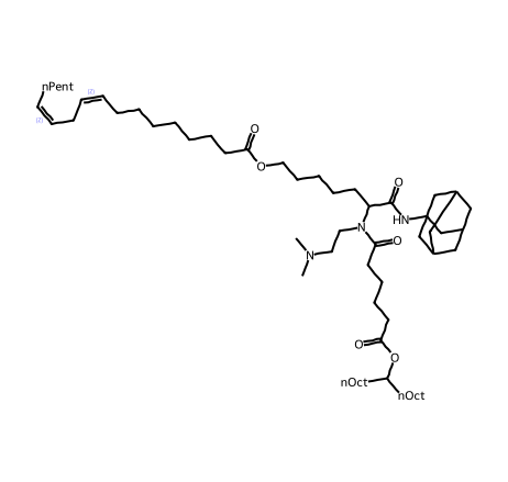 CCCCC/C=C\C/C=C\CCCCCCCC(=O)OCCCCCC(C(=O)NC12CC3CC(CC(C3)C1)C2)N(CCN(C)C)C(=O)CCCCC(=O)OC(CCCCCCCC)CCCCCCCC